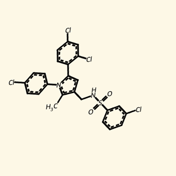 Cc1c(CNS(=O)(=O)c2cccc(Cl)c2)cc(-c2ccc(Cl)cc2Cl)n1-c1ccc(Cl)cc1